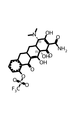 CN(C)[C@@H]1C(O)=C(C(N)=O)C(=O)[C@@]2(O)C(O)=C3C(=O)c4c(cccc4OS(=O)(=O)C(F)(F)F)CC3CC12